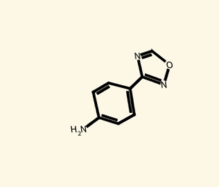 Nc1ccc(-c2n[c]on2)cc1